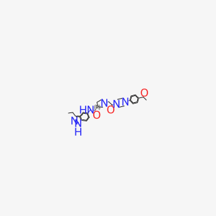 CCc1n[nH]c2ccc(NC(=O)[C@@H]3CCN(CC(=O)N4CCN(c5ccc(C(C)=O)cc5)CC4)C3)cc12